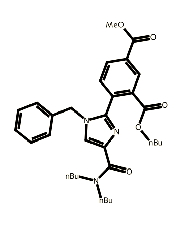 CCCCOC(=O)c1cc(C(=O)OC)ccc1-c1nc(C(=O)N(CCCC)CCCC)cn1Cc1ccccc1